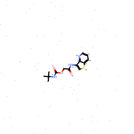 CC(C)(C)NC(=O)OCC(=O)Nc1csc2cccnc12